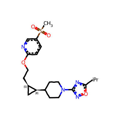 CC(C)c1nc(N2CCC([C@H]3C[C@H]3CCOc3ccc(S(C)(=O)=O)cn3)CC2)no1